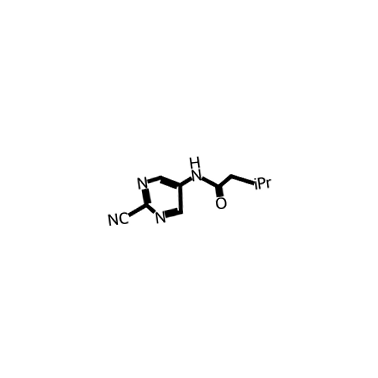 CC(C)CC(=O)Nc1cnc(C#N)nc1